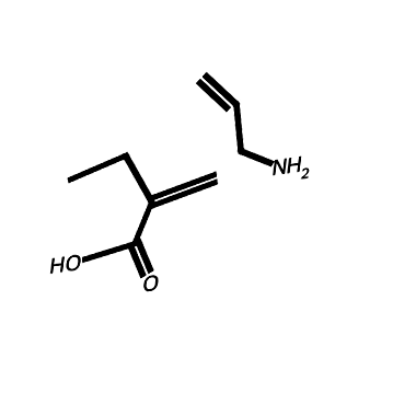 C=C(CC)C(=O)O.C=CCN